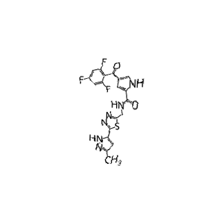 Cc1cc(-c2nnc(CNC(=O)c3cc(C(=O)c4c(F)cc(F)cc4F)c[nH]3)s2)[nH]n1